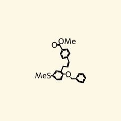 COC(=O)c1ccc(/C=C\Cc2cc(SC)ccc2OCc2ccccc2)cc1